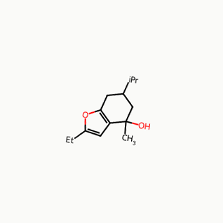 CCc1cc2c(o1)CC(C(C)C)CC2(C)O